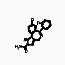 NC(=O)N1C=C2CN=C(c3ccccc3F)c3cc(Cl)ccc3N2N1